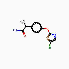 CC(C(N)=O)c1ccc(Oc2ncc(Br)s2)cc1